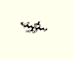 CSCCC(SC(C)=O)C(=O)NC(CCC(=O)C=[N+]=[N-])C(=O)O